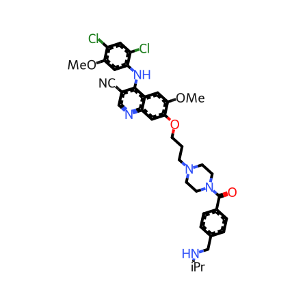 COc1cc(Nc2c(C#N)cnc3cc(OCCCN4CCN(C(=O)c5ccc(CNC(C)C)cc5)CC4)c(OC)cc23)c(Cl)cc1Cl